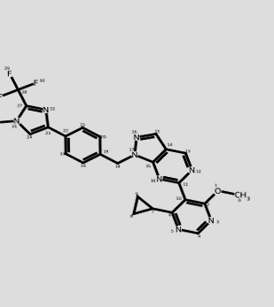 COc1ncnc(C2CC2)c1-c1ncc2cnn(Cc3ccc(-c4cn(C)c(C(F)(F)F)n4)cc3)c2n1